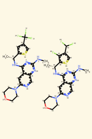 CNc1nc(N[C@H](C)c2cc(C(F)(F)F)cs2)c2cc(N3CCOCC3)ncc2n1.CNc1nc(N[C@H](C)c2scc(C(F)F)c2F)c2cc(N3CCOCC3)ncc2n1